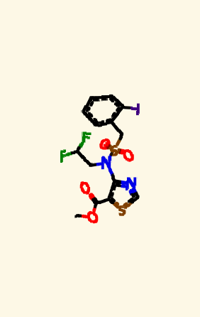 COC(=O)c1scnc1N(CC(F)F)S(=O)(=O)Cc1ccccc1I